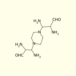 NC(C=O)C(N)N1CCN(C(N)C(N)C=O)CC1